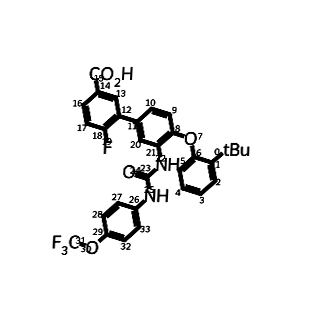 CC(C)(C)c1ccccc1Oc1ccc(-c2cc(C(=O)O)ccc2F)cc1NC(=O)Nc1ccc(OC(F)(F)F)cc1